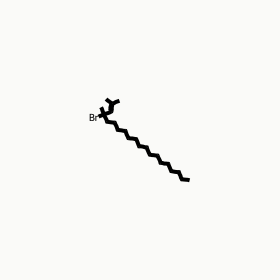 CCCCCCCCCCCCCCCCC(C)(Br)C=C(C)C